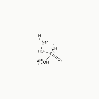 O=P(O)(O)O.[Al+3].[H+].[Na+]